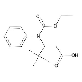 CCOC(=O)N(c1ccccc1)C(CC(=O)O)C(C)(C)C